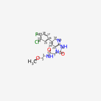 COCCNC(=O)Cn1c(=O)[nH]c2ncc(-c3ccc(F)c(Cl)c3)cc21